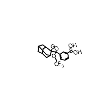 OB(O)c1cccc(C2(OCC(F)(F)F)OOC23C2CC4CC(C2)CC3C4)c1